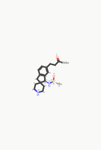 CNC(=O)CCc1ccc2c(c1)[C@@H](N[S@+]([O-])C(C)(C)C)C1(CCNCC1)C2